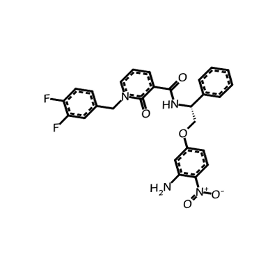 Nc1cc(OC[C@H](NC(=O)c2cccn(Cc3ccc(F)c(F)c3)c2=O)c2ccccc2)ccc1[N+](=O)[O-]